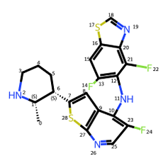 C[C@@H]1NCCC[C@@H]1c1cc2c(Nc3c(F)cc4scnc4c3F)c(F)cnc2s1